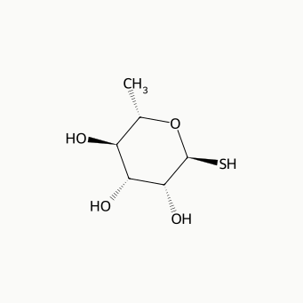 C[C@@H]1O[C@@H](S)[C@H](O)[C@H](O)[C@H]1O